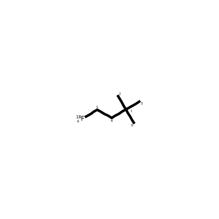 CC(C)(C)CC[18F]